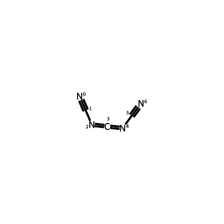 N#CN=C=NC#N